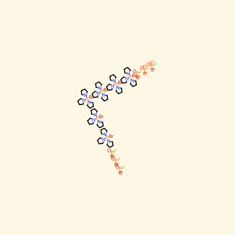 Br[P+](N1CCCC1)(N1CCCC1)N1CCCC1.Br[P+](N1CCCC1)(N1CCCC1)N1CCCC1.Br[P+](N1CCCC1)(N1CCCC1)N1CCCC1.Br[P+](N1CCCC1)(N1CCCC1)N1CCCC1.Br[P+](N1CCCC1)(N1CCCC1)N1CCCC1.Br[P+](N1CCCC1)(N1CCCC1)N1CCCC1.O=[PH]([O-])F.O=[PH]([O-])F.O=[PH]([O-])F.O=[PH]([O-])F.O=[PH]([O-])F.O=[PH]([O-])F